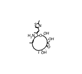 C/C1=C/C(N)[C@@H](/C(C)=C/c2csc(C)n2)O[C@H](O)C[C@H](O)C(C)(C)C(=O)[C@H](C)[C@@H](O)[C@@H](C)CCC1